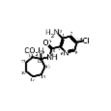 Nc1cc(Cl)cnc1C(=O)NC1(C(=O)O)CCCCCC1